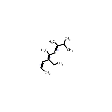 C\C=C/C(CC)=C(C)/N=C(\C)C(C)C